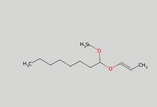 CC=COC(CCCCCCC)O[SiH3]